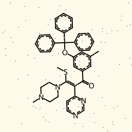 CSC(=C(C(=O)c1cc(C)cc(OC(c2ccccc2)(c2ccccc2)c2ccccc2)c1)c1ccncn1)N1CCN(C)CC1